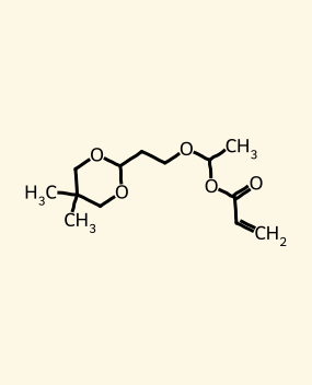 C=CC(=O)OC(C)OCCC1OCC(C)(C)CO1